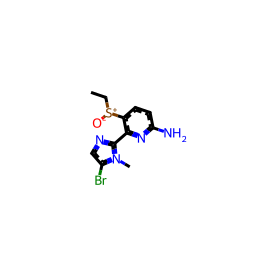 CC[S+]([O-])c1ccc(N)nc1-c1ncc(Br)n1C